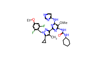 CCOc1cc(F)c(Cn2nc(-c3nc(NC(=O)NC4CCCCC4)c(OC)c(Nc4ccncn4)n3)c(C)c2C2CC2)c(F)c1